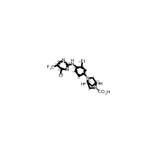 CCc1cc(N2C[C@@H]3C[C@H]2CN3C(=O)O)ccc1Nc1ncc(C(F)(F)F)c(Cl)n1